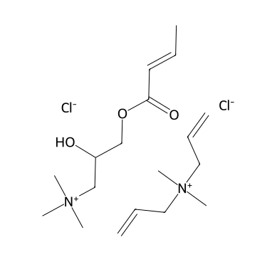 C=CC[N+](C)(C)CC=C.CC=CC(=O)OCC(O)C[N+](C)(C)C.[Cl-].[Cl-]